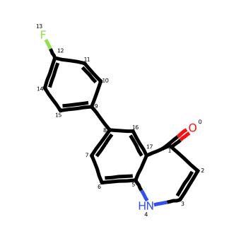 O=c1cc[nH]c2ccc(-c3ccc(F)cc3)cc12